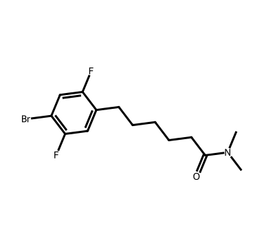 CN(C)C(=O)CCCCCc1cc(F)c(Br)cc1F